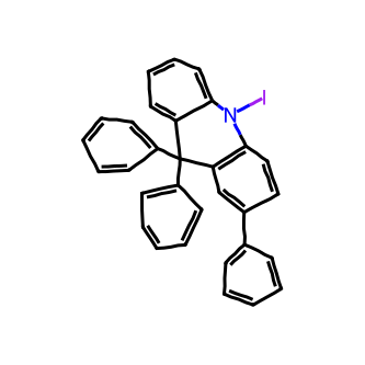 IN1c2ccccc2C(c2ccccc2)(c2ccccc2)c2cc(-c3ccccc3)ccc21